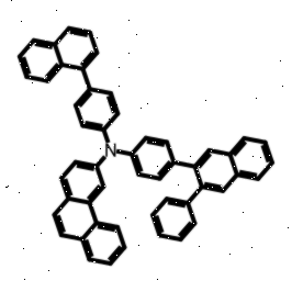 c1ccc(-c2cc3ccccc3cc2-c2ccc(N(c3ccc(-c4cccc5ccccc45)cc3)c3ccc4ccc5ccccc5c4c3)cc2)cc1